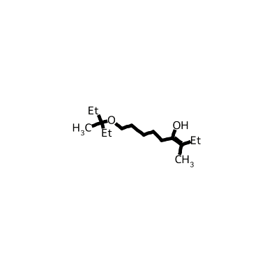 CC/C(C)=C(\O)CCCCCOC(C)(CC)CC